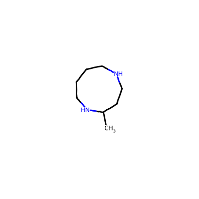 CC1CCNCCCCN1